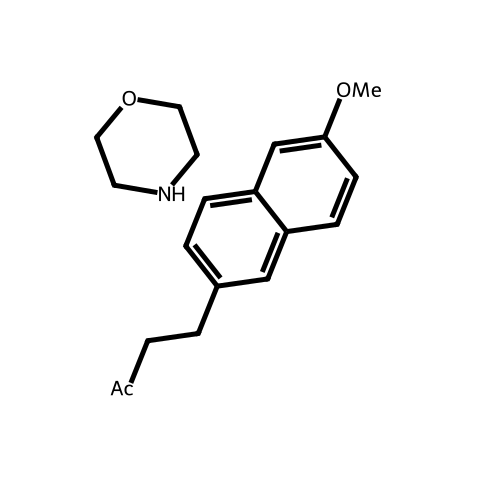 C1COCCN1.COc1ccc2cc(CCC(C)=O)ccc2c1